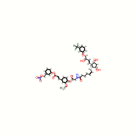 COc1cc(/C=C/C(=O)Oc2cccc(CO[N+](=O)[O-])c2)ccc1OC(=O)CNC(=O)CCC/C=C\C[C@@H]1[C@@H](/C=C/[C@@H](O)COc2cccc(C(F)(F)F)c2)[C@H](O)C[C@@H]1O